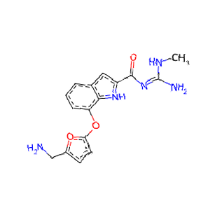 CNC(N)=NC(=O)c1cc2cccc(Oc3ccc(CN)o3)c2[nH]1